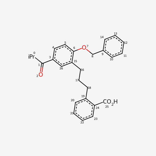 CC(C)C(=O)c1ccc(OCc2ccccc2)c(CCCc2ccccc2C(=O)O)c1